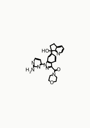 Nc1nccc(-n2nc(C(=O)N3CCOCC3)c3ccc([C@]4(O)CCc5cccnc54)cc32)n1